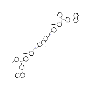 Cc1cccc(N(C2=CCC(c3cccc4ccccc34)C=C2)c2ccc3c(c2)C(C)(C)c2cc(/C=C/c4ccc5c(c4)C(C)(C)c4cc(/C=C/c6ccc7c(c6)C(C)(C)c6cc(N(c8ccc(-c9cccc%10ccccc9%10)cc8)c8cccc(C)c8)ccc6-7)ccc4-5)ccc2-3)c1